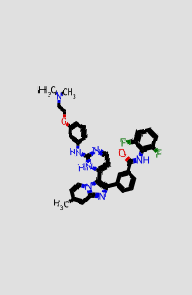 Cc1ccn2c(C3=CC=NC(Nc4cccc(OCCN(C)C)c4)N3)c(-c3cccc(C(=O)Nc4c(F)cccc4F)c3)nc2c1